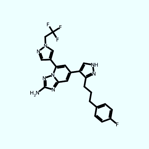 Nc1nc2cc(-c3c[nH]nc3CCCc3ccc(F)cc3)cc(-c3cnn(CC(F)(F)F)c3)n2n1